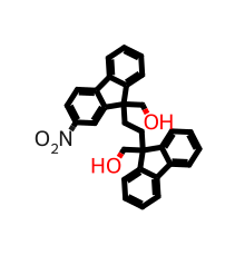 O=[N+]([O-])c1ccc2c(c1)C(CO)(CCC1(CO)c3ccccc3-c3ccccc31)c1ccccc1-2